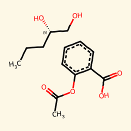 CC(=O)Oc1ccccc1C(=O)O.CCC[C@H](O)CO